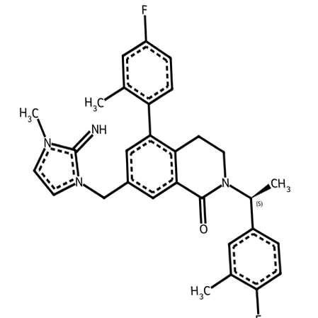 Cc1cc([C@H](C)N2CCc3c(cc(Cn4ccn(C)c4=N)cc3-c3ccc(F)cc3C)C2=O)ccc1F